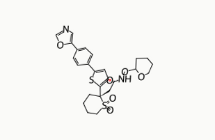 O=C(C[C@]1(c2ccc(-c3ccc(-c4cnco4)cc3)s2)CCCCS1(=O)=O)NOC1CCCCO1